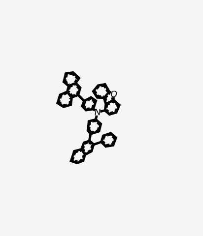 c1ccc(-c2cc3ccccc3cc2-c2ccc(N(c3ccc(-c4cc5ccccc5c5ccccc45)cc3)c3cccc4oc5ccccc5c34)cc2)cc1